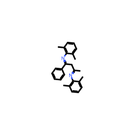 CC(CC(=Nc1c(C)cccc1C)c1ccccc1)=Nc1c(C)cccc1C